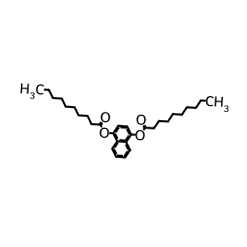 CCCCCCCCCC(=O)Oc1ccc(OC(=O)CCCCCCCCC)c2ccccc12